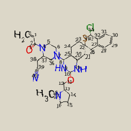 C=CC(=O)N1CCN(C2NC(OCC3CCCN3C)NC3C[C@@]4(CCC32)Cc2ccccc2C(Cl)S4)CC1CC#N